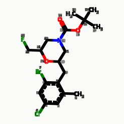 Cc1cc(Cl)cc(Br)c1CC1CN(C(=O)OC(C)(C)C)CC(CF)O1